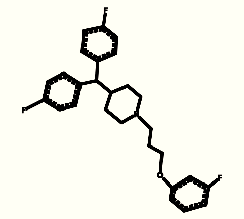 Fc1ccc(C(c2ccc(F)cc2)C2CCN(CCCOc3cccc(F)c3)CC2)cc1